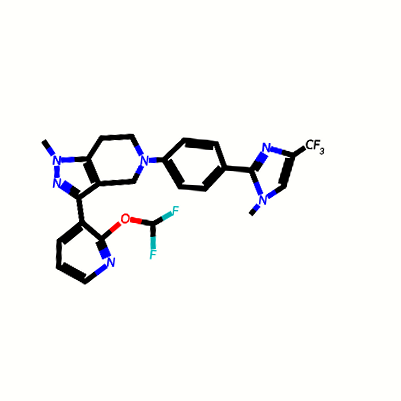 Cn1cc(C(F)(F)F)nc1-c1ccc(N2CCc3c(c(-c4cccnc4OC(F)F)nn3C)C2)cc1